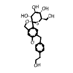 OCCc1ccc(Cc2cc3c(cc2Cl)CO[C@]32S[C@H](CO)[C@@H](O)[C@H](O)[C@H]2O)cc1